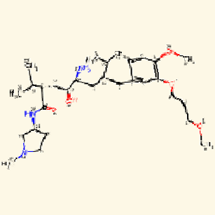 COCCCOc1cc(C[C@@H](C[C@H](N)[C@@H](O)C[C@H](C(=O)N[C@H]2CCN(C)C2)C(C)C)C(C)C)ccc1OC